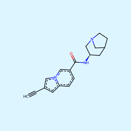 C#Cc1cc2ccc(C(=O)N[C@@H]3CC4CCN(C4)C3)cn2c1